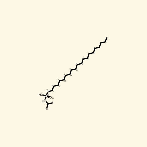 CCCCCCCCCCCCCCCCCCCCOP(=O)(O)OC(C)C